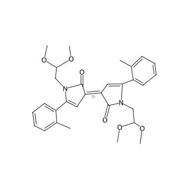 COC(CN1C(=O)/C(=C2\C=C(c3ccccc3C)N(CC(OC)OC)C2=O)C=C1c1ccccc1C)OC